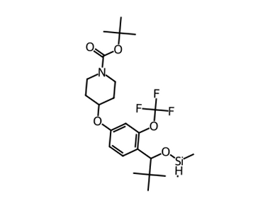 C[SiH](C)OC(c1ccc(OC2CCN(C(=O)OC(C)(C)C)CC2)cc1OC(F)(F)F)C(C)(C)C